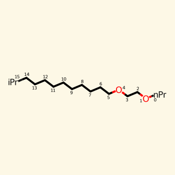 CCCOCCOCCCCCCCCCCC(C)C